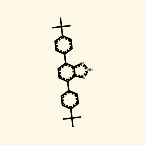 CC(C)(C)c1ccc(-c2ccc(-c3ccc(C(C)(C)C)cc3)c3n[nH]nc23)cc1